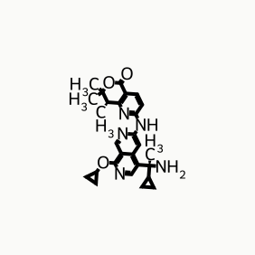 C[C@@H]1c2nc(Nc3cc4c([C@](C)(N)C5CC5)cnc(OC5CC5)c4cn3)ccc2C(=O)OC1(C)C